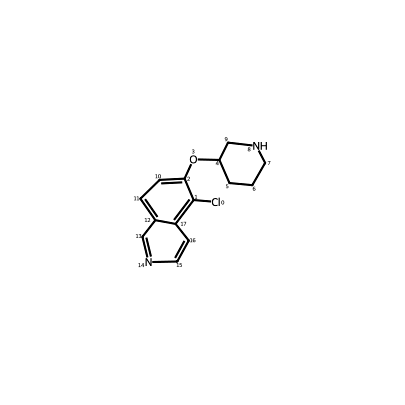 Clc1c(OC2CCCNC2)ccc2cnccc12